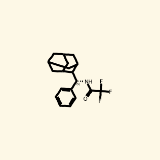 O=C(N[C@H](c1ccccc1)C1C2CC3CC(C2)CC1C3)C(F)(F)F